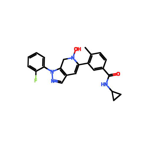 Cc1ccc(C(=O)NC2CC2)cc1C1=Cc2cnn(-c3ccccc3F)c2CN1O